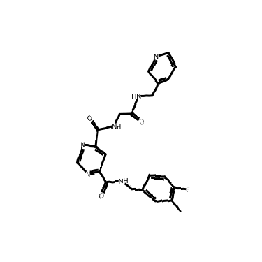 Cc1cc(CNC(=O)c2cc(C(=O)NCC(=O)NCc3cccnc3)ncn2)ccc1F